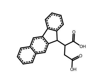 O=C(O)CC(C(=O)O)C1c2ccccc2-c2cc3ccccc3cc21